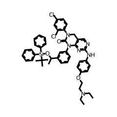 CCN(CC)CCOc1ccc(Nc2ncc3c(n2)N(c2cccc(C(C)O[Si](c4ccccc4)(c4ccccc4)C(C)(C)C)c2)C(=O)N(c2ccc(Cl)cc2Cl)C3)cc1